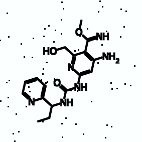 CCC(NC(=O)Nc1cc(N)c(C(=N)OC)c(CO)n1)c1ccccn1